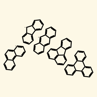 [CH]1c2ccccc2-c2ccccc21.[c]1c2ccccc2cc2ccccc12.[c]1cccc2c1ccc1ccccc12.c1ccc2c(c1)-c1cccc3cccc-2c13.c1ccc2c(c1)c1ccccc1c1ccccc21